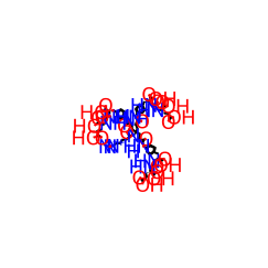 [N-]=[N+]=NCCCCC(=O)NC(CCC(=O)Nc1ccc(C[C@H](NC(=O)N[C@@H](CCC(=O)O)C(=O)O)C(=O)O)cc1)(CCC(=O)Nc1ccc(C[C@H](NC(=O)N[C@@H](CCC(=O)O)C(=O)O)C(=O)O)cc1)CCC(=O)Nc1ccc(C[C@H](NC(=O)N[C@@H](CCC(=O)O)C(=O)O)C(=O)O)cc1